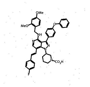 COc1ccc(CNc2ncc(/C=C/c3ccc(F)cc3)c3c2c(-c2ccc(Oc4ccccc4)cc2)nn3C2CCCN(C(=O)O)C2)c(OC)c1